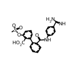 CS(=O)(=O)Oc1cccc(-c2ccccc2C(=O)Nc2ccc(C(=N)N)cc2)c1C(=O)O